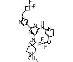 CN1CCC2(CC1)CN(c1cc(Nc3cc(OC(F)(F)F)ccn3)nc(-c3cnn(CC4CC(F)(F)C4)c3)n1)C2